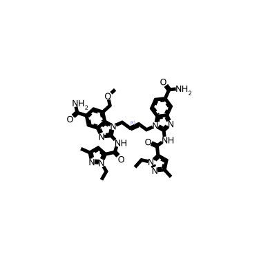 CCn1nc(C)cc1C(=O)Nc1nc2cc(C(N)=O)ccc2n1C/C=C/Cn1c(NC(=O)c2cc(C)nn2CC)nc2cc(C(N)=O)cc(COC)c21